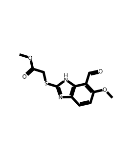 COC(=O)CSc1nc2ccc(OC)c(C=O)c2[nH]1